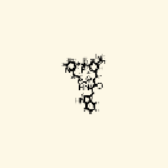 O=C(NC(Cc1c[nH]c2ccccc12)C(=O)CCc1cc(C(F)(F)F)cc(C(F)(F)F)c1)OCCc1ccccn1